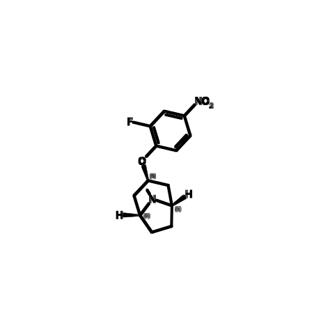 CN1[C@@H]2CC[C@H]1C[C@H](Oc1ccc([N+](=O)[O-])cc1F)C2